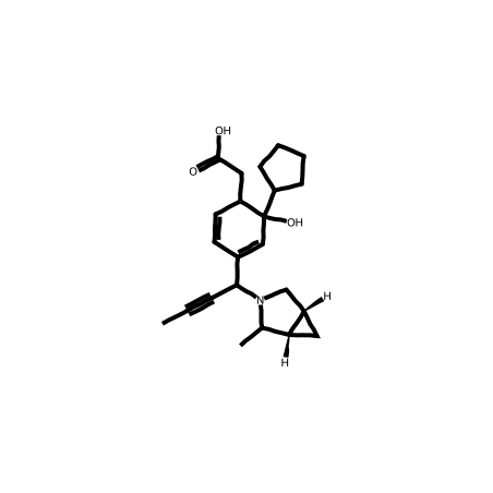 CC#CC(C1=CC(O)(C2CCCC2)C(CC(=O)O)C=C1)N1C[C@@H]2C[C@@H]2C1C